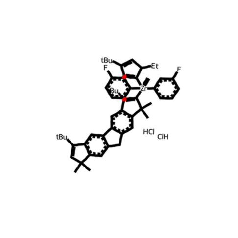 Cl.Cl.[CH2]=[Zr]([C]1=CC(C(C)(C)C)=CC1CC)([C]1=C(C(C)(C)C)c2cc3c(cc2C1(C)C)Cc1cc2c(cc1-3)C(C(C)(C)C)=CC2(C)C)([c]1cccc(F)c1)[c]1cccc(F)c1